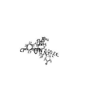 CCOC(=O)C1CCCCC1N1CCN(C(=O)C(Cc2ccc(Cl)cc2)NC(=O)OC(C)(C)C)CC1